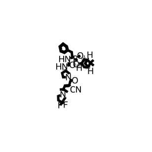 CC1(C)[C@@H]2C[C@H]3OB(C(Cc4ccccc4)NC(=O)N[C@H]4CCN(C(=O)C(C#N)=CC(C)(C)N5CCC(F)(F)C5)C4)O[C@@]3(C)[C@H]1C2